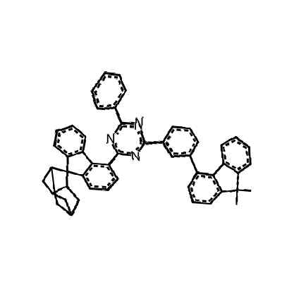 CC1(C)c2ccccc2-c2c(-c3cccc(-c4nc(-c5ccccc5)nc(-c5cccc6c5-c5ccccc5C65C6CC7CC(C6)C5C7)n4)c3)cccc21